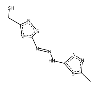 Cc1nnc(NN=Nc2nc(CS)ns2)s1